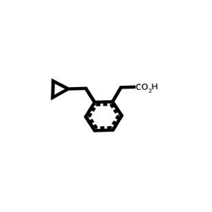 O=C(O)Cc1ccccc1CC1CC1